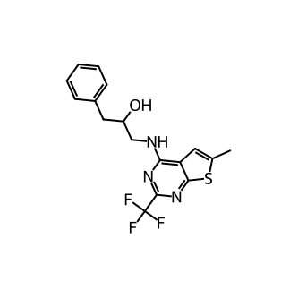 Cc1cc2c(NCC(O)Cc3ccccc3)nc(C(F)(F)F)nc2s1